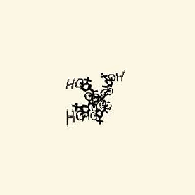 CC(C(=O)OCC(COC(=O)C(C)c1ccc(O)c(C(C)(C)C)c1)(COC(=O)C(C)c1ccc(O)c(C(C)(C)C)c1)COC(=O)C(C)c1ccc(O)c(C(C)(C)C)c1)c1ccc(O)c(C(C)(C)C)c1